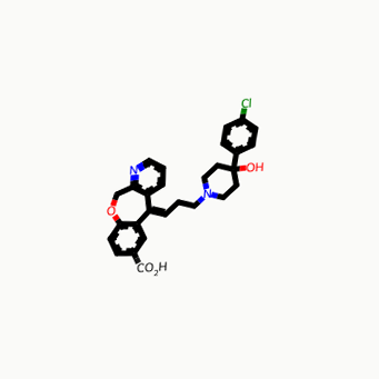 O=C(O)c1ccc2c(c1)/C(=C/CCN1CCC(O)(c3ccc(Cl)cc3)CC1)c1cccnc1CO2